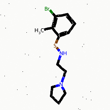 Cc1c(Br)cccc1SNCCN1CCCC1